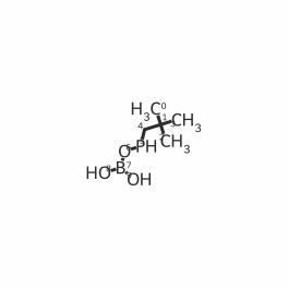 CC(C)(C)CPOB(O)O